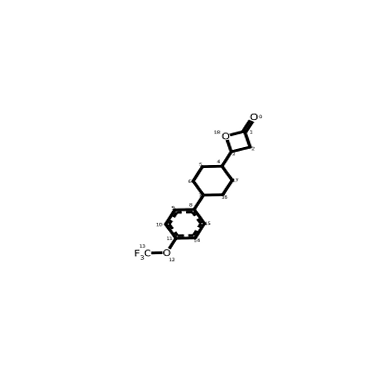 O=C1CC(C2CCC(c3ccc(OC(F)(F)F)cc3)CC2)O1